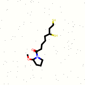 COC1CCCN1C(=O)CCCCC(S)CCS